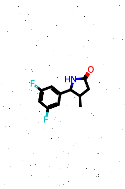 CC1CC(=O)NC1c1cc(F)cc(F)c1